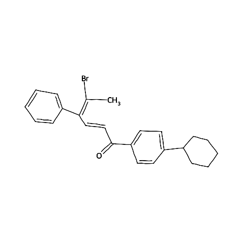 CC(Br)=C(C=CC(=O)c1ccc(C2CCCCC2)cc1)c1ccccc1